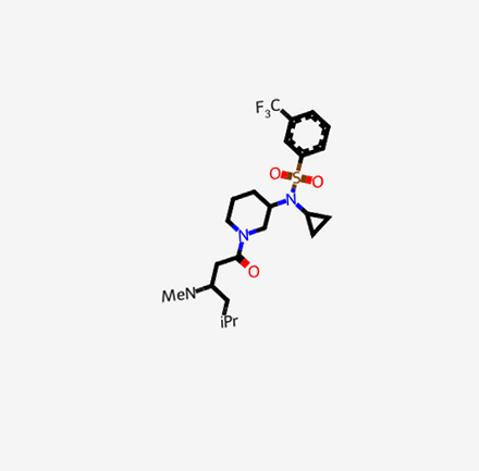 CNC(CC(=O)N1CCCC(N(C2CC2)S(=O)(=O)c2cccc(C(F)(F)F)c2)C1)CC(C)C